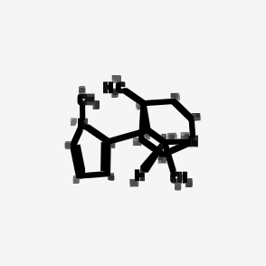 C[C@@H]1C(c2cccn2C)C2(C)CCN1CC2